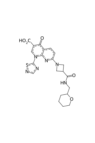 O=C(O)c1cn(-c2ncns2)c2nc(N3CC(C(=O)NCC4CCCCO4)C3)ccc2c1=O